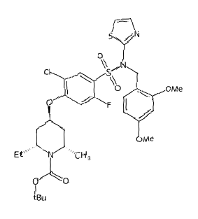 CC[C@@H]1C[C@@H](Oc2cc(F)c(S(=O)(=O)N(Cc3ccc(OC)cc3OC)c3nccs3)cc2Cl)C[C@H](C)N1C(=O)OC(C)(C)C